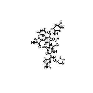 Nc1nc(C(=NOC2CCCC2)C(=O)N[C@@H]2C(=O)N3C(C(=O)O)=C(C(=C4CCNC4=O)C(CC(=O)Nc4ccc(F)c(F)c4)c4ccncc4)CS[C@H]23)cs1